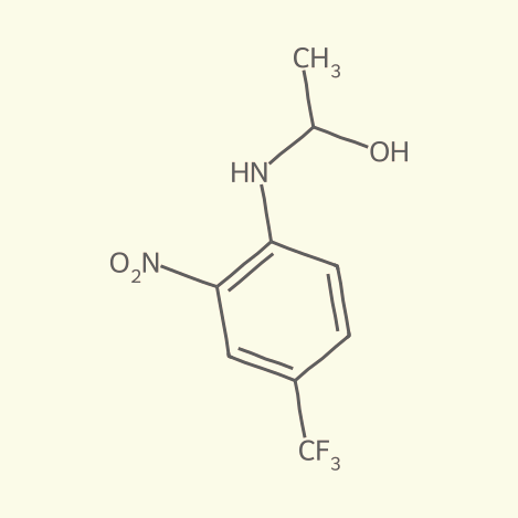 CC(O)Nc1ccc(C(F)(F)F)cc1[N+](=O)[O-]